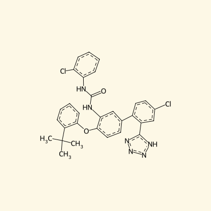 CC(C)(C)c1ccccc1Oc1ccc(-c2ccc(Cl)cc2-c2nnn[nH]2)cc1NC(=O)Nc1ccccc1Cl